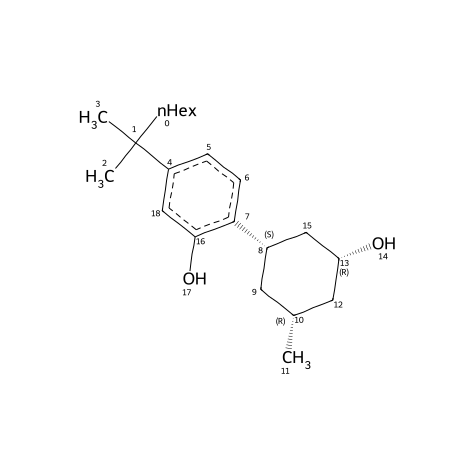 CCCCCCC(C)(C)c1ccc([C@H]2C[C@@H](C)C[C@@H](O)C2)c(O)c1